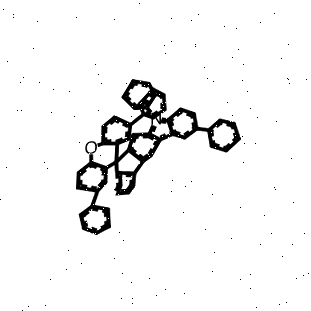 c1ccc(-c2ccc3c(c2)C2(c4cc(-c5ccccc5)ccc4O3)c3ccccc3-c3cc4c5cc(-c6ccccc6)ccc5n(-c5ccccc5)c4cc32)cc1